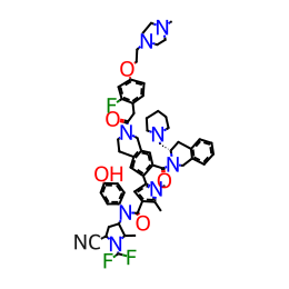 Cc1c(C(=O)N(c2ccc(O)cc2)C2CC(C#N)N(C(F)F)C2C)cc(-c2cc3c(cc2C(=O)N2Cc4ccccc4C[C@H]2CN2CCCCC2)CN(C(=O)Cc2ccc(OCCN4CCN(C)CC4)cc2F)CC3)n1C